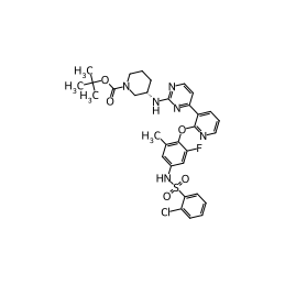 Cc1cc(NS(=O)(=O)c2ccccc2Cl)cc(F)c1Oc1ncccc1-c1ccnc(N[C@H]2CCCN(C(=O)OC(C)(C)C)C2)n1